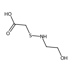 O=C(O)CSNCCO